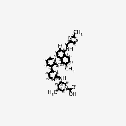 Cc1nc(CNc2c(F)ccc3c(Oc4ncccc4-c4ccnc(N[C@H]5C[C@@H](C)CN(C(=O)O)C5)n4)c(C)ccc23)cs1